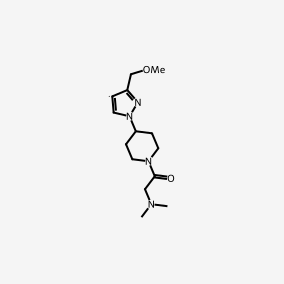 COCc1[c]cn(C2CCN(C(=O)CN(C)C)CC2)n1